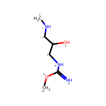 CNCC(O)CNC(=N)OC